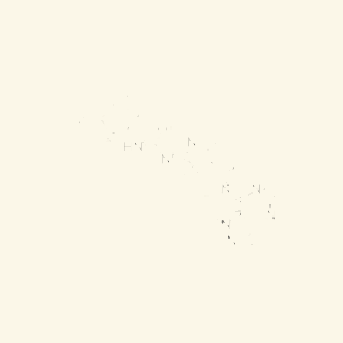 Cc1cccc(NC(=O)Nc2ncc(CN3CCn4ncc5ncnc3c54)s2)c1